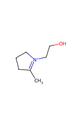 CC1=[N+](CCO)CCC1